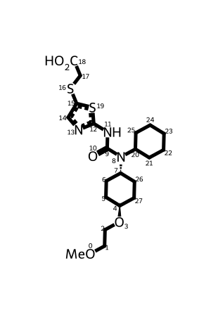 COCCO[C@H]1CC[C@H](N(C(=O)Nc2ncc(SCC(=O)O)s2)C2CCCCC2)CC1